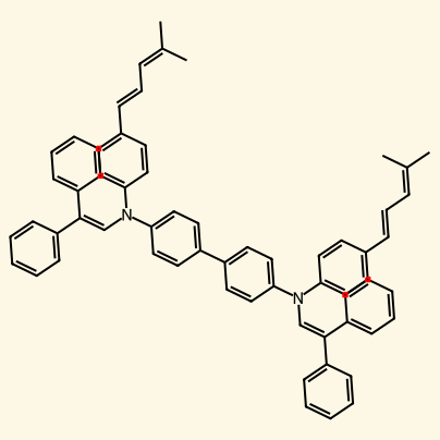 CC(C)=CC=Cc1ccc(N(C=C(c2ccccc2)c2ccccc2)c2ccc(-c3ccc(N(C=C(c4ccccc4)c4ccccc4)c4ccc(C=CC=C(C)C)cc4)cc3)cc2)cc1